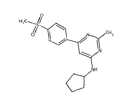 Cc1nc(NC2CCCC2)cc(-c2ccc(S(C)(=O)=O)cc2)n1